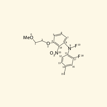 COCCOc1cccc(N(F)c2ccc(I)cc2F)c1[N+](=O)[O-]